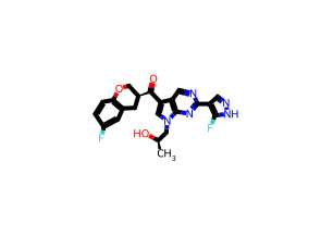 C[C@@H](O)Cn1cc(C(=O)[C@@H]2COc3ccc(F)cc3C2)c2cnc(-c3cn[nH]c3F)nc21